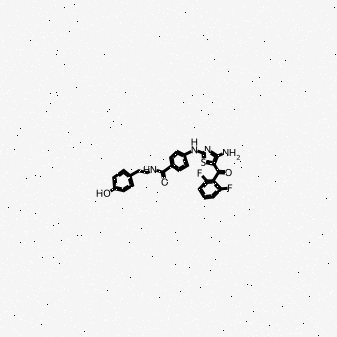 Nc1nc(Nc2ccc(C(=O)NCCc3ccc(O)cc3)cc2)sc1C(=O)c1c(F)cccc1F